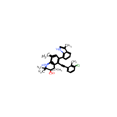 Cc1cc(-c2cccc3c(C)c[nH]c23)c(C#Cc2cccc(Cl)c2C)c2c1NC(C)(C)[C@H](O)[C@H]2C